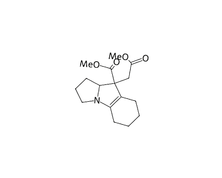 COC(=O)CC1(C(=O)OC)C2=C(CCCC2)N2CCCC21